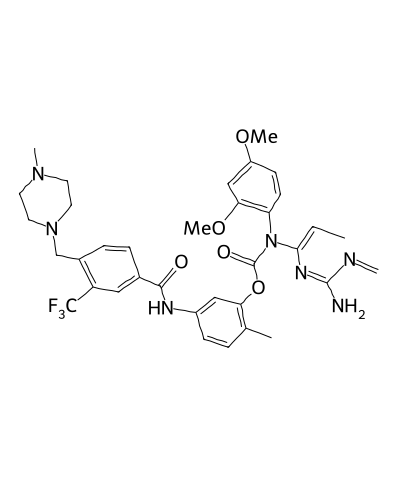 C=N/C(N)=N\C(=C/C)N(C(=O)Oc1cc(NC(=O)c2ccc(CN3CCN(C)CC3)c(C(F)(F)F)c2)ccc1C)c1ccc(OC)cc1OC